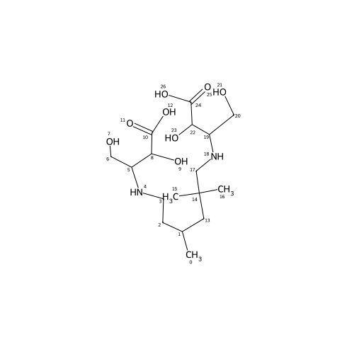 CC(CCNC(CO)C(O)C(=O)O)CC(C)(C)CNC(CO)C(O)C(=O)O